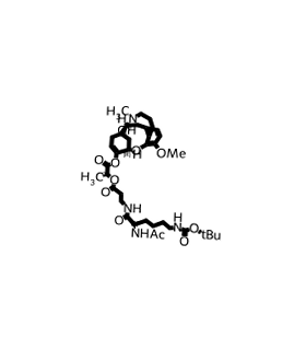 COc1ccc2c3c1O[C@@H]1C[C@@](O)(CC=C1OC(=O)[C@H](C)OC(=O)CCNC(=O)[C@H](CCCCNC(=O)OC(C)(C)C)NC(C)=O)[C@@H](C2)N(C)CCC3